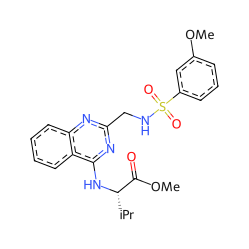 COC(=O)[C@@H](Nc1nc(CNS(=O)(=O)c2cccc(OC)c2)nc2ccccc12)C(C)C